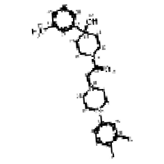 Cc1ccc(N2CCN(CC(=O)N3CCC(O)(c4cccc(C(F)(F)F)c4)CC3)CC2)cc1C